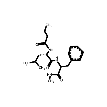 CCCC(=O)N[C@@H](CC(C)C)C(=O)N[C@@H](Cc1ccccc1)C(=O)NC